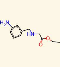 CCOC(=O)CNCc1cccc(N)c1